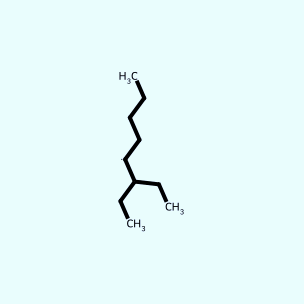 CCCC[CH]C(CC)CC